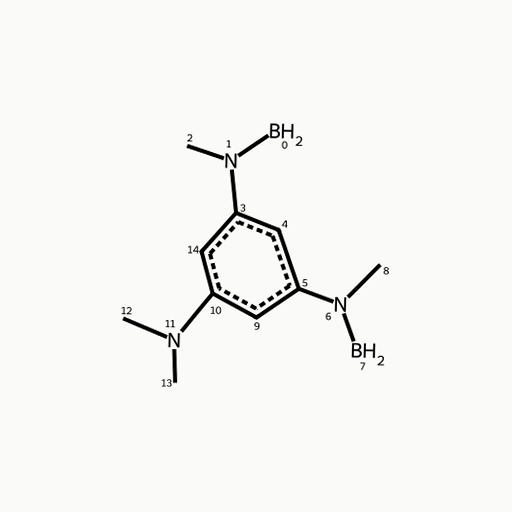 BN(C)c1cc(N(B)C)cc(N(C)C)c1